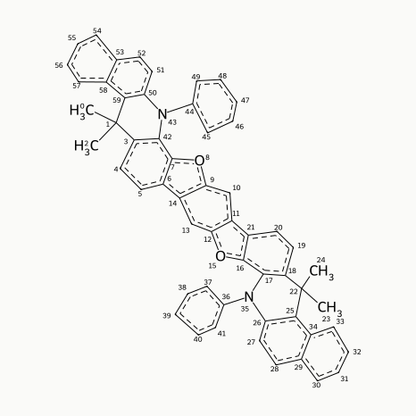 CC1(C)c2ccc3c(oc4cc5c(cc43)oc3c4c(ccc35)C(C)(C)c3c(ccc5ccccc35)N4c3ccccc3)c2N(c2ccccc2)c2ccc3ccccc3c21